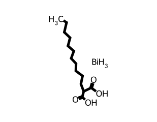 CCCCCCCCCCCC(C(=O)O)C(=O)O.[BiH3]